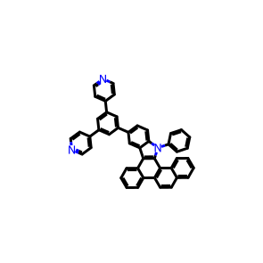 c1ccc(-n2c3ccc(-c4cc(-c5ccncc5)cc(-c5ccncc5)c4)cc3c3c4ccccc4c4ccc5ccccc5c4c32)cc1